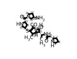 CC(NC(=O)C[C@@H]1CCCN1)[C@H]1C(=O)N2C(C(=O)O)=C(S[C@@H]3CN[C@H](C(=O)N4CC[C@@H](N)C4)C3)[C@H](C)[C@H]12